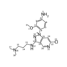 COc1cc(N)ccc1-n1nc(NCCCN(C)C)c2cnc(Cl)cc21